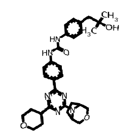 CC(C)(O)Cc1ccc(NC(=O)Nc2ccc(-c3nc(C4CCOCC4)nc(N4C5CCC4COC5)n3)cc2)cc1